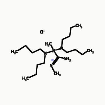 CCCCN(CCCC)[N+](C)(/C(N)=N/C)N(CCCC)CCCC.[Cl-]